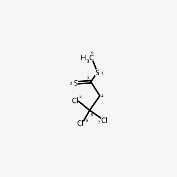 CSC(=S)CC(Cl)(Cl)Cl